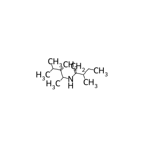 C=C(NC(C)C(=C)C(C)C)C(C)CC